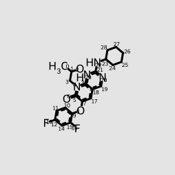 CC(O)Cn1c(=O)c(Oc2ccc(F)cc2F)cc2cnc(NC3CCCCC3)nc21